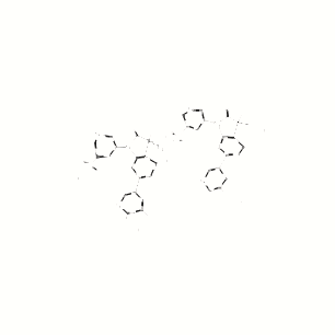 Cc1cncc(-c2ccc3c(c2)N(c2cncc(S(C)(=O)=O)c2)C(=O)C3(C)C)c1.Cc1ncc(-c2ccc3c(c2)N(c2cncc(S(C)(=O)=O)c2)C(=O)C3(C)C)cc1F